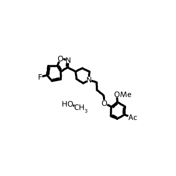 CO.COc1cc(C(C)=O)ccc1OCCCN1CCC(c2noc3cc(F)ccc23)CC1